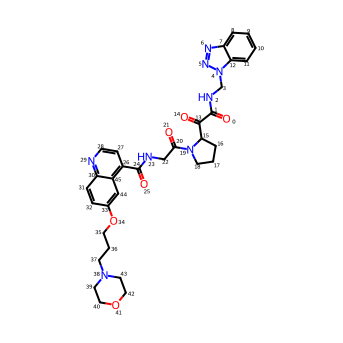 O=C(NCn1nnc2ccccc21)C(=O)C1CCCN1C(=O)CNC(=O)c1ccnc2ccc(OCCCN3CCOCC3)cc12